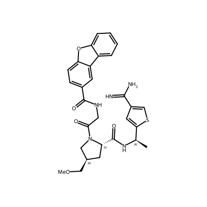 COC[C@@H]1C[C@@H](C(=O)N[C@H](C)c2cc(C(=N)N)cs2)N(C(=O)CNC(=O)c2ccc3oc4ccccc4c3c2)C1